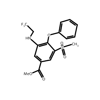 COC(=O)c1cc(NCC(F)(F)F)c(Oc2ccccc2)c(S(C)(=O)=O)c1